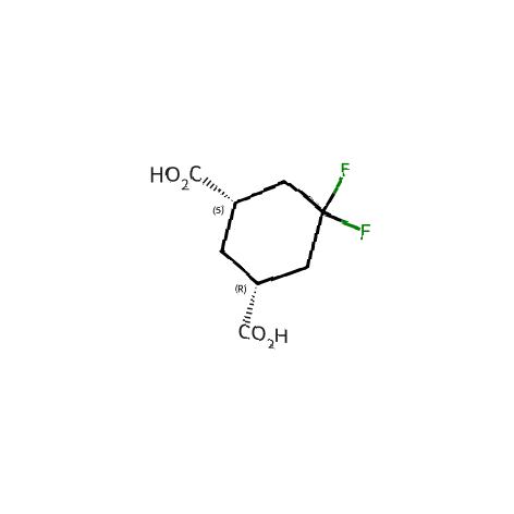 O=C(O)[C@@H]1C[C@H](C(=O)O)CC(F)(F)C1